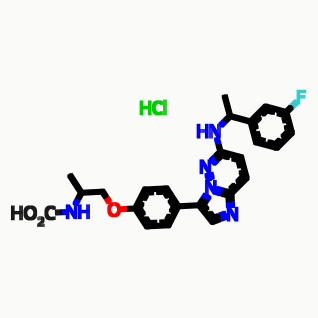 CC(COc1ccc(-c2cnc3ccc(NC(C)c4cccc(F)c4)nn23)cc1)NC(=O)O.Cl